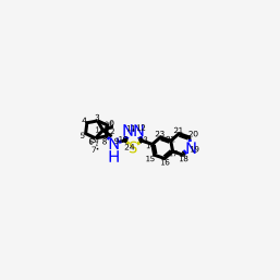 CC1(C)C2CC[C@]1(C)C(Nc1nnc(-c3ccc4cnccc4c3)s1)C2